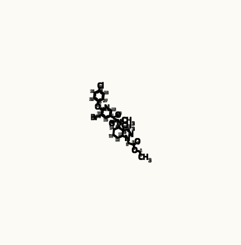 CCOC(=O)CN1N=CC2(C)C1CCC[C@H]2N(C)S(=O)(=O)c1cnc(Oc2ccc(Cl)cc2)c(Br)c1